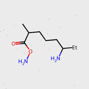 CCC(N)CCCC(C)C(=O)ON